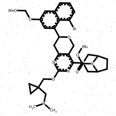 COCOc1cc(C2Cc3nc(OCC4(CN(C)C)CC4)nc(N4CC5CCC(C4)N5C(=O)OC(C)(C)C)c3CO2)c2c(Br)cccc2c1